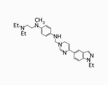 CCN(CC)CCN(C)c1ccc(NCN2C=NC(c3ccc4c(cnn4CC)c3)=CC2)cc1